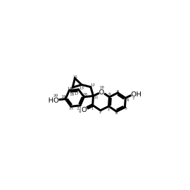 O=C1Cc2ccc(O)cc2OC1(CC1CC1)c1ccc(O)cc1